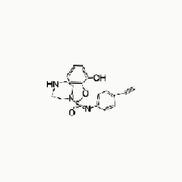 C#Cc1ccc(N=S(=O)(Oc2ccccc2O)N2CCNCC2)cc1